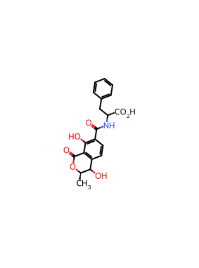 C[C@H]1OC(=O)c2c(ccc(C(=O)NC(Cc3ccccc3)C(=O)O)c2O)C1O